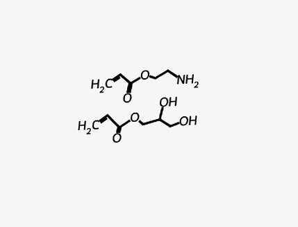 C=CC(=O)OCC(O)CO.C=CC(=O)OCCN